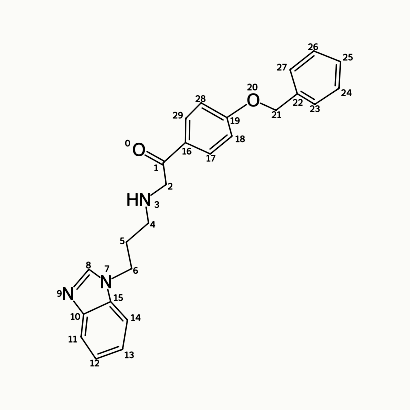 O=C(CNCCCn1cnc2ccccc21)c1ccc(OCc2ccccc2)cc1